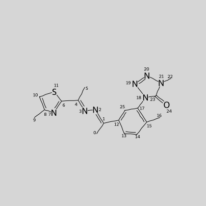 C/C(=N\N=C(/C)c1nc(C)cs1)c1ccc(C)c(-n2nnn(C)c2=O)c1